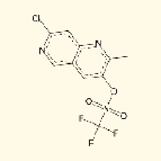 Cc1nc2cc(Cl)ncc2cc1OS(=O)(=O)C(F)(F)F